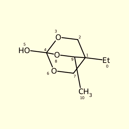 CCC12COC(O)(OC1)OC2C